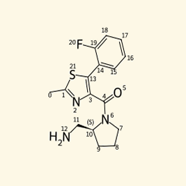 Cc1nc(C(=O)N2CCC[C@H]2CN)c(-c2ccccc2F)s1